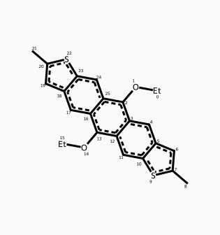 CCOc1c2cc3cc(C)sc3cc2c(OCC)c2cc3cc(C)sc3cc12